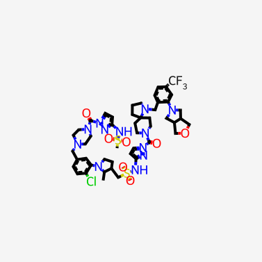 CC1C(CS(=O)(=O)Nc2ccn(C(=O)N3CCC4(CCCN4Cc4ccc(C(F)(F)F)cc4N4CC5COCC5C4)CC3)n2)CCN1c1cc(CN2CCN(C(=O)n3ccc(NS(C)(=O)=O)n3)CC2)ccc1Cl